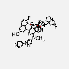 CC(C)[Si](C#Cc1c(F)ccc2cc(O)cc(-c3nc(N(C)c4cnn(-c5ccncc5)c4)c4cnc(OC[C@@]56CCCN5C[C@H](F)C6)nc4c3F)c12)(C(C)C)C(C)C